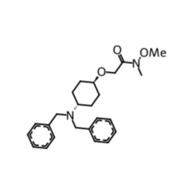 CON(C)C(=O)CO[C@H]1CC[C@H](N(Cc2ccccc2)Cc2ccccc2)CC1